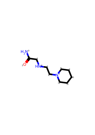 NC(=O)CNCCN1CCCCC1